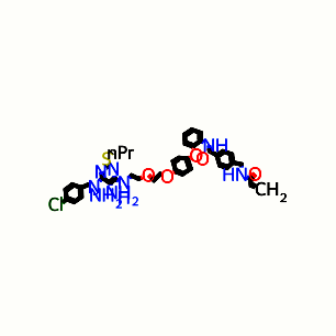 C=CC(=O)NCc1ccc(C(=O)Nc2ccccc2Oc2ccc(OCCOCCNc3nc(SCCC)nc(N(N)Cc4ccc(Cl)cc4)c3N)cc2)cc1